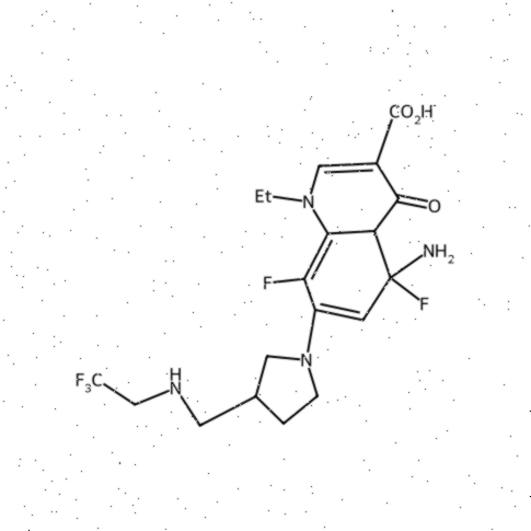 CCN1C=C(C(=O)O)C(=O)C2C1=C(F)C(N1CCC(CNCC(F)(F)F)C1)=CC2(N)F